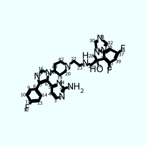 Nc1nccc(-c2c(-c3ccc(F)cc3)ncn2C2CCN(CCNC[C@](O)(Cn3cncn3)c3ccc(F)cc3F)CC2)n1